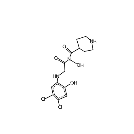 O=C(CNc1cc(Cl)c(Cl)cc1O)N(O)C(=O)C1CCNCC1